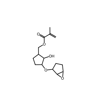 C=C(C)C(=O)OCC1CCC(OC2CCC3OC23)C1O